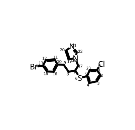 Clc1cccc(SC(CCc2ccc(Br)cc2)Cn2ccnc2)c1